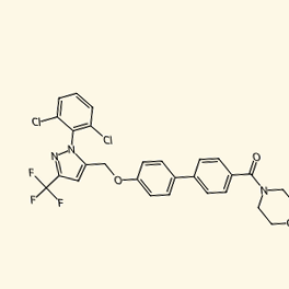 O=C(c1ccc(-c2ccc(OCc3cc(C(F)(F)F)nn3-c3c(Cl)cccc3Cl)cc2)cc1)N1CCOCC1